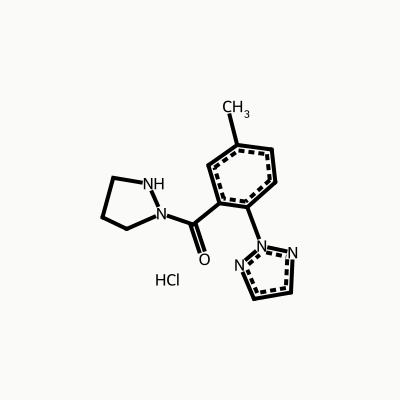 Cc1ccc(-n2nccn2)c(C(=O)N2CCCN2)c1.Cl